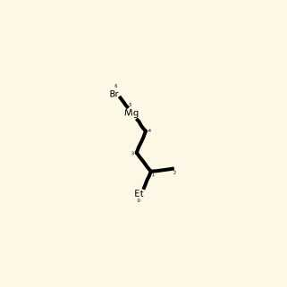 CCC(C)C[CH2][Mg][Br]